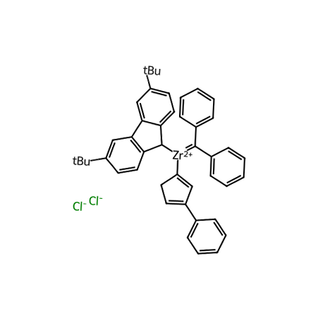 CC(C)(C)c1ccc2c(c1)-c1cc(C(C)(C)C)ccc1[CH]2[Zr+2]([C]1=CC(c2ccccc2)=CC1)=[C](c1ccccc1)c1ccccc1.[Cl-].[Cl-]